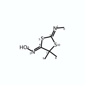 CN=C1SC(=NO)C(C)(C)S1